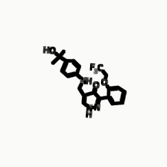 CC(C)(O)c1ccc(NCc2c[nH]nc(-c3ccccc3OCC(F)(F)F)c2=O)cc1